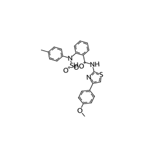 COc1ccc(-c2csc(NC(=O)c3ccccc3N(c3ccc(C)cc3)[SH](=O)=O)n2)cc1